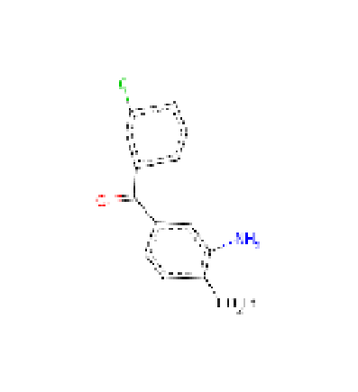 CCOC(=O)c1ccc(C(=O)c2cccc(Cl)c2)cc1N